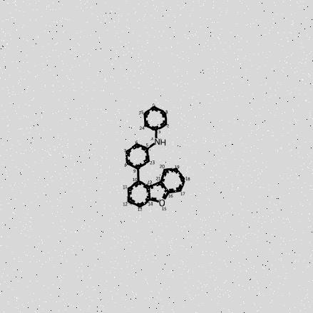 c1ccc(Nc2cccc(-c3cccc4oc5ccccc5c34)c2)cc1